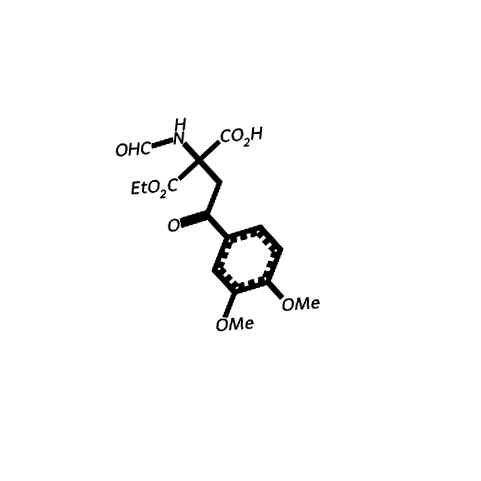 CCOC(=O)C(CC(=O)c1ccc(OC)c(OC)c1)(NC=O)C(=O)O